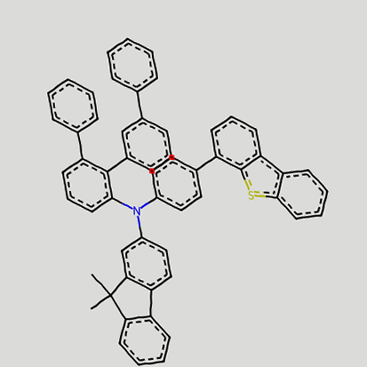 CC1(C)c2ccccc2-c2ccc(N(c3ccc(-c4cccc5c4sc4ccccc45)cc3)c3cccc(-c4ccccc4)c3-c3cccc(-c4ccccc4)c3)cc21